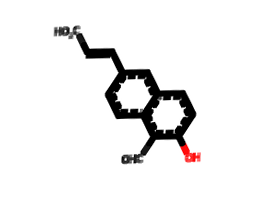 O=Cc1c(O)ccc2cc(/C=C/C(=O)O)ccc12